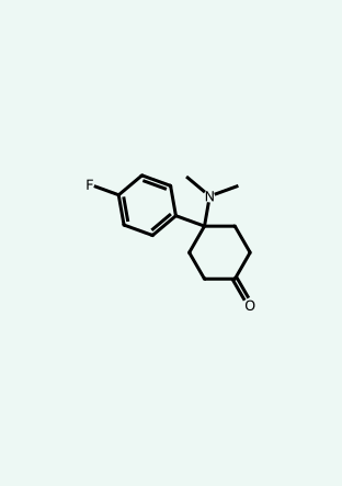 CN(C)C1(c2ccc(F)cc2)CCC(=O)CC1